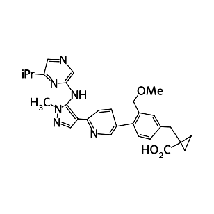 COCc1cc(CC2(C(=O)O)CC2)ccc1-c1ccc(-c2cnn(C)c2Nc2cncc(C(C)C)n2)nc1